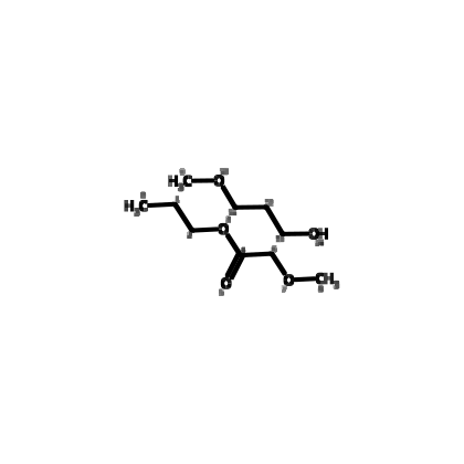 CCCOC(=O)COC.COCCCO